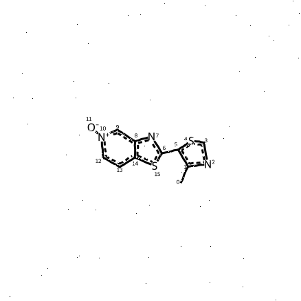 Cc1ncsc1-c1nc2c[n+]([O-])ccc2s1